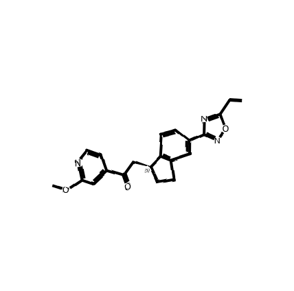 CCc1nc(-c2ccc3c(c2)CC[C@H]3CC(=O)c2ccnc(OC)c2)no1